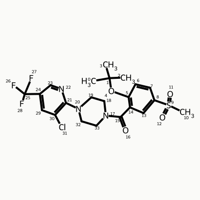 CC(C)(C)Oc1ccc(S(C)(=O)=O)cc1C(=O)N1CCN(c2ncc(C(F)(F)F)cc2Cl)CC1